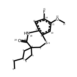 CCCCC1(CC)CSc2cc(OC)c(F)cc2NC1=O